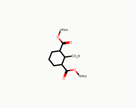 CCCCCCOC(=O)C1CCCC(C(=O)OCCCCCC)C1C(=O)O